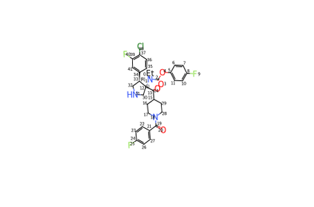 CCN(C(=O)Oc1ccc(F)cc1)[C@]1(C(=O)C2CCN(C(=O)c3ccc(F)cc3)CC2)CNC[C@H]1c1ccc(Cl)c(F)c1